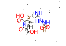 C[C@@H](O)[C@H]1C(=O)N2C(C(=O)O)=C(SC3CN[C@H](CNN[SH](=O)=O)C3)[C@H](C)[C@H]12